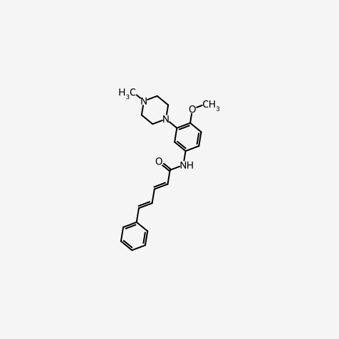 COc1ccc(NC(=O)C=CC=Cc2ccccc2)cc1N1CCN(C)CC1